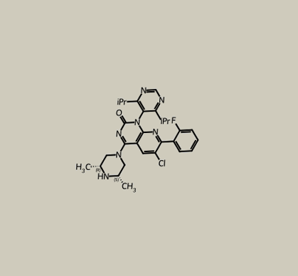 CC(C)c1ncnc(C(C)C)c1-n1c(=O)nc(N2C[C@@H](C)N[C@@H](C)C2)c2cc(Cl)c(-c3ccccc3F)nc21